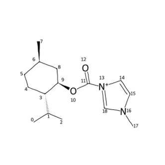 CC(C)[C@@H]1CC[C@@H](C)C[C@H]1OC(=O)[n+]1ccn(C)c1